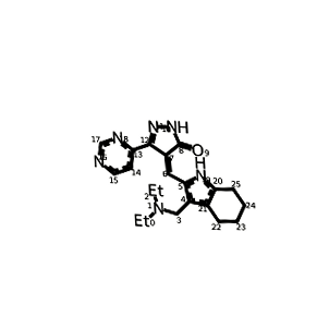 CCN(CC)Cc1c(C=C2C(=O)NN=C2c2ccncn2)[nH]c2c1CCCC2